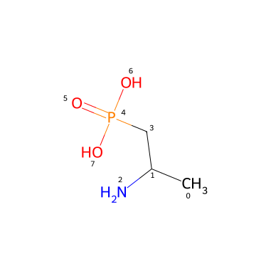 CC(N)CP(=O)(O)O